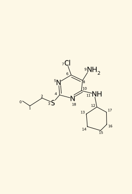 CCCSc1nc(Cl)c(N)c(NC2CCCCC2)n1